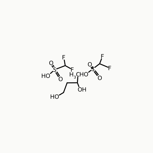 CC(O)CCO.O=S(=O)(O)C(F)F.O=S(=O)(O)C(F)F